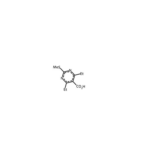 CCc1nc(SC)nc(CC)c1C(=O)O